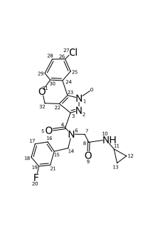 Cn1nc(C(=O)N(CC(=O)NC2CC2)Cc2cccc(F)c2)c2c1-c1cc(Cl)ccc1OC2